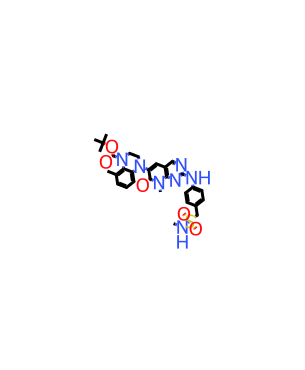 CNS(=O)(=O)Cc1ccc(Nc2ncc3cc(N4CCN(C(=O)OC(C)(C)C)c5c(C)cccc54)c(=O)n(C)c3n2)cc1